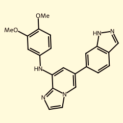 COc1ccc(Nc2cc(-c3ccc4cn[nH]c4c3)cn3ccnc23)cc1OC